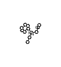 c1ccc(-c2ccc(-c3nc(-c4cccc(-c5cc6ccccc6o5)c4)cc(-c4cc5ccc6cccc7c8cccc9ccc%10cccc(c(c4)c5c67)c%10c98)n3)cc2)cc1